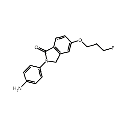 Nc1ccc(N2Cc3cc(OCCCF)ccc3C2=O)cc1